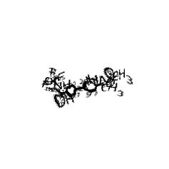 CC(NS(C)(=O)=O)c1ccc(-c2ccc([C@@H](O)[C@@H](CF)NC(=O)C(F)F)cc2)cn1